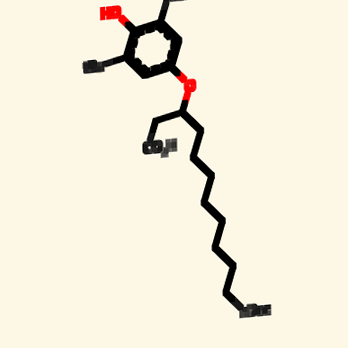 CCCCCCCCCCCCCCCCCCC(CC(=O)O)Oc1cc(C(C)(C)C)c(O)c(C(C)(C)C)c1